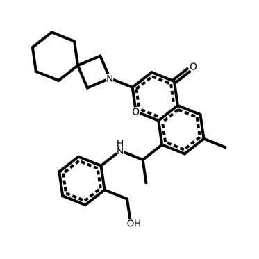 Cc1cc(C(C)Nc2ccccc2CO)c2oc(N3CC4(CCCCC4)C3)cc(=O)c2c1